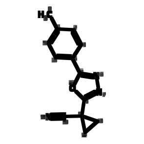 Cc1ccc(-c2nnc(C3(C#N)CC3)o2)cc1